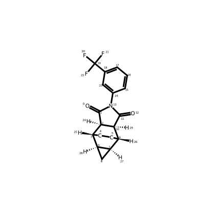 O=C1[C@@H]2[C@@H]3CC[C@@H]([C@H]4C[C@H]43)[C@@H]2C(=O)N1c1cccc(C(F)(F)F)c1